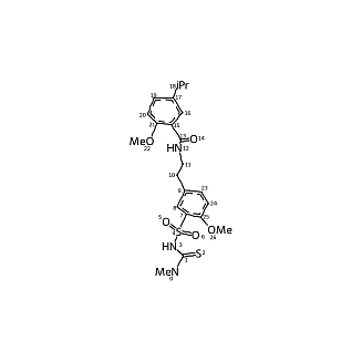 CNC(=S)NS(=O)(=O)c1cc(CCNC(=O)c2cc(C(C)C)ccc2OC)ccc1OC